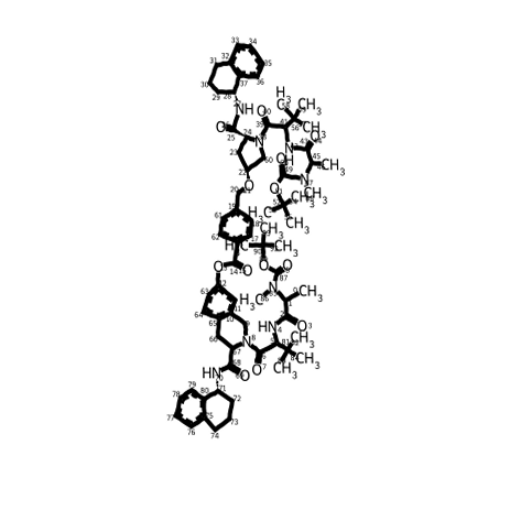 CC(C(=O)NC(C(=O)N1Cc2cc(OC(=O)c3ccc(CO[C@H]4C[C@@H](C(=O)N[C@@H]5CCCc6ccccc65)N(C(=O)C(NC(=O)C(C)N(C)C(=O)OC(C)(C)C)C(C)(C)C)C4)cc3)ccc2CC1C(=O)N[C@@H]1CCCc2ccccc21)C(C)(C)C)N(C)C(=O)OC(C)(C)C